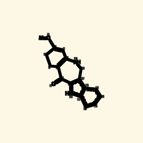 COC1=CC2=C(CC1)C(=O)c1[nH]c3ccccc3c1CN2